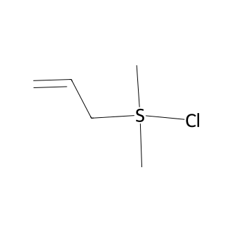 C=CCS(C)(C)Cl